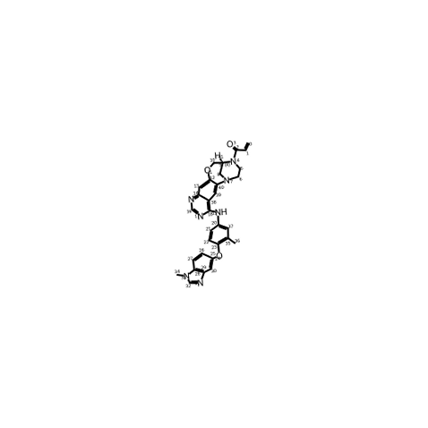 C=CC(=O)N1CCN2C[C@@H]1COc1cc3ncnc(Nc4ccc(Oc5ccc6c(c5)ncn6C)c(C)c4)c3cc12